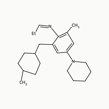 CC/C=N\c1c(C)cc(N2CCCCC2)cc1CC1CCC(C)CC1